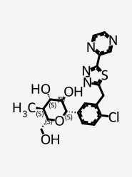 C[C@H]1[C@H](O)[C@@H](O)[C@H](c2ccc(Cl)c(Cc3nnc(-c4cnccn4)s3)c2)O[C@@H]1CO